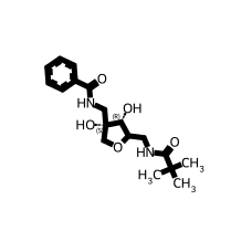 CC(C)(C)C(=O)NCC1OC[C@@](O)(CNC(=O)c2ccccc2)[C@@H]1O